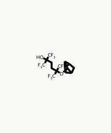 OC(CCC(OC1C2CC3C(C2)C31)(C(F)(F)F)C(F)(F)F)(C(F)(F)F)C(F)(F)F